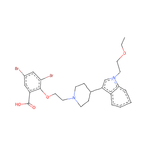 CCOCCn1cc(C2CCN(CCOc3c(Br)cc(Br)cc3C(=O)O)CC2)c2ccccc21